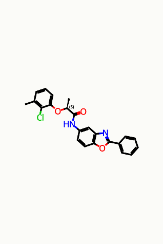 Cc1cccc(O[C@@H](C)C(=O)Nc2ccc3oc(-c4ccccc4)nc3c2)c1Cl